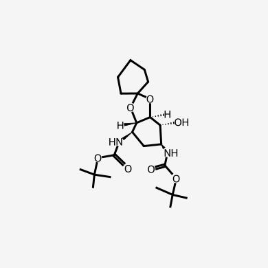 CC(C)(C)OC(=O)N[C@H]1C[C@@H](NC(=O)OC(C)(C)C)[C@@H]2OC3(CCCCC3)O[C@H]2[C@@H]1O